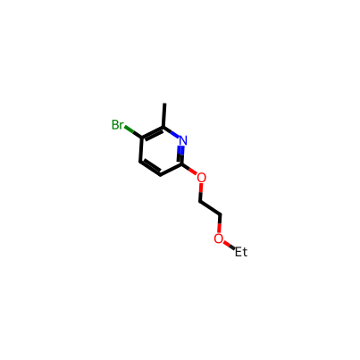 CCOCCOc1ccc(Br)c(C)n1